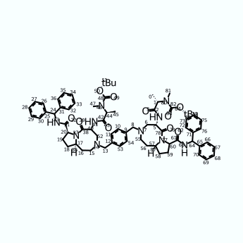 C[C@@H](C(=O)N[C@H]1CN(Cc2ccc(CN3CC[C@H]4CC[C@@H](C(=O)NC(c5ccccc5)c5ccccc5)N4C(=O)[C@@H](NC(=O)[C@H](C)N(C)C(=O)OC(C)(C)C)C3)cc2)CC[C@H]2CCC(C(=O)NC(c3ccccc3)c3ccccc3)N2C1=O)N(C)C(=O)OC(C)(C)C